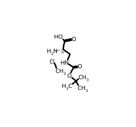 CC(C)(C)OC(=O)NC[C@H](N)C(=O)O.CCl